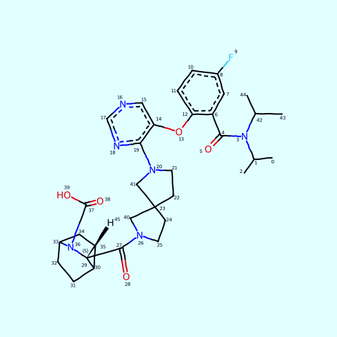 CC(C)N(C(=O)c1cc(F)ccc1Oc1cncnc1N1CCC2(CCN(C(=O)[C@@H]3C4CCC(CC4)N3C(=O)O)C2)C1)C(C)C